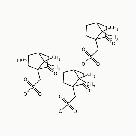 CC1(C)C2CCC1(CS(=O)(=O)[O-])C(=O)C2.CC1(C)C2CCC1(CS(=O)(=O)[O-])C(=O)C2.CC1(C)C2CCC1(CS(=O)(=O)[O-])C(=O)C2.[Fe+3]